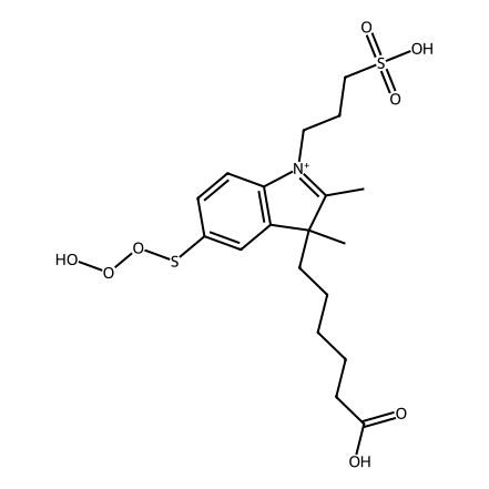 CC1=[N+](CCCS(=O)(=O)O)c2ccc(SOOO)cc2C1(C)CCCCCC(=O)O